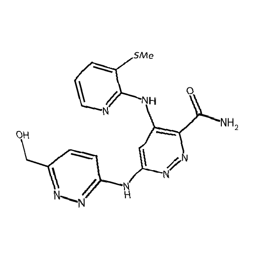 CSc1cccnc1Nc1cc(Nc2ccc(CO)nn2)nnc1C(N)=O